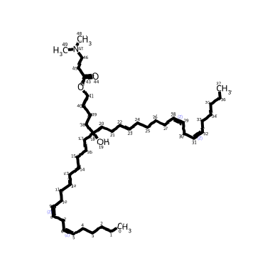 CCCCC/C=C\C/C=C\CCCCCCCCC(O)(CCCCCCCC/C=C\C/C=C\CCCCC)CCCCOC(=O)CCN(C)C